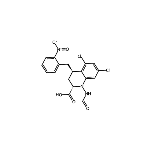 O=CNN1c2cc(Cl)cc(Cl)c2[C@H](Cc2ccccc2[N+](=O)[O-])C[C@H]1C(=O)O